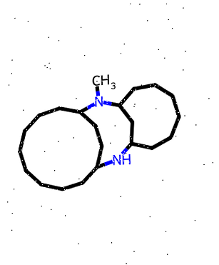 CN1C2CCCCCCCCC(CC2)NC2CCCCCCC1C2